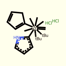 Cl.Cl.[CH2]=[Zr]([CH3])([CH3])([CH3])([CH3])([C]1=CC=CC1)([c]1ccc[nH]1)([C](C)(C)C)[C](C)(C)C